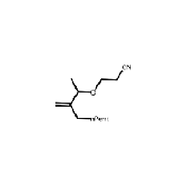 C=C(CCCCCC)C(C)OCCC#N